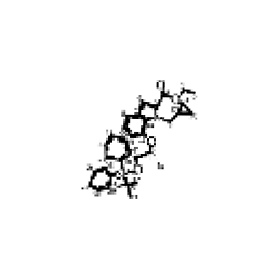 CCOC(=O)c1cc2cccc(O[C@H](C)CO[Si](c3ccccc3)(c3ccccc3)C(C)(C)C)c2n1CC1CC1